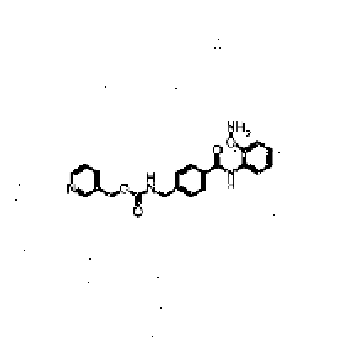 NOc1ccccc1NC(=O)c1ccc(CNC(=O)OCc2cccnc2)cc1